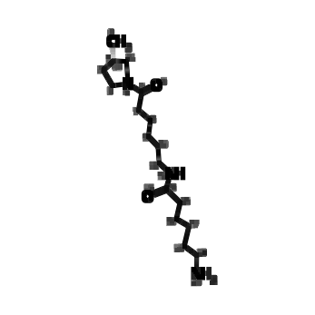 C[C@H]1CCN(C(=O)CCCCCNC(=O)CCCCCN)C1